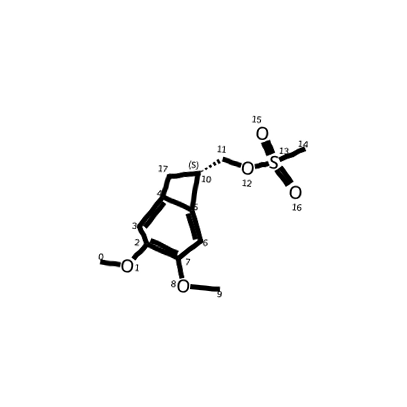 COc1cc2c(cc1OC)[C@@H](COS(C)(=O)=O)C2